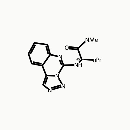 CCC[C@@H](Nc1nc2ccccc2c2cnnn12)C(=O)NC